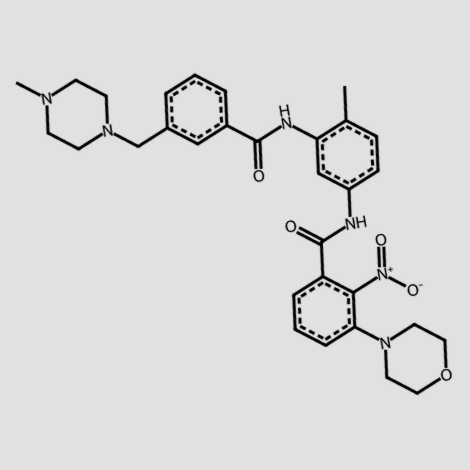 Cc1ccc(NC(=O)c2cccc(N3CCOCC3)c2[N+](=O)[O-])cc1NC(=O)c1cccc(CN2CCN(C)CC2)c1